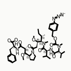 CC[C@H](C)[C@@H]([C@@H](CC(=O)N1CCC[C@H]1[C@H](OC)[C@@H](C)C(=O)N[C@@H](Cc1ccccc1)C(=O)O)OC)N(C)C(=O)[C@@H](NC(=O)[C@H](C(C)C)N(C)C(=O)OCc1ccc(N=[N+]=[N-])cc1)C(C)C